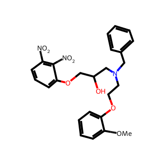 COc1ccccc1OCCN(Cc1ccccc1)CC(O)COc1cccc([N+](=O)[O-])c1[N+](=O)[O-]